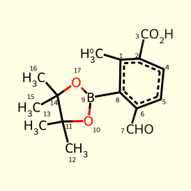 Cc1c(C(=O)O)ccc(C=O)c1B1OC(C)(C)C(C)(C)O1